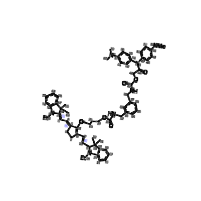 CCN1/C(=C/C=C2\CCC(/C=C/C3N(CC)c4ccccc4C3(C)C)=C2OCCCOC(=O)NCc2cccc(CNC(=O)OCC(=O)N(c3ccc(NC)cc3)c3ccc(N(C)C)cc3)c2)C(C)(C)c2ccccc21